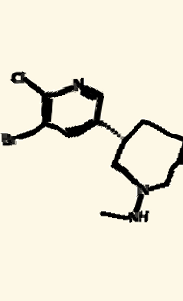 CNN1CCCC[C@@H](c2cnc(Cl)c(Br)c2)C1